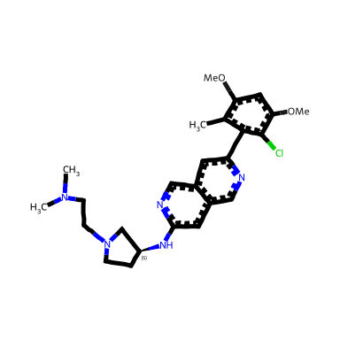 COc1cc(OC)c(Cl)c(-c2cc3cnc(N[C@H]4CCN(CCN(C)C)C4)cc3cn2)c1C